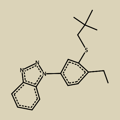 CCc1ccc(-n2nnc3ccccc32)cc1SCC(C)(C)C